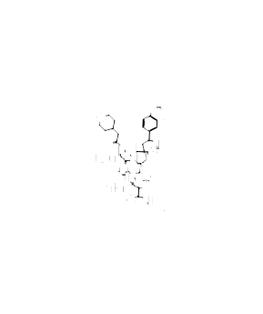 CCC[C@H](NC(=O)[C@@H]1C[C@]2(CC(c3ccc4c(c3)OCO4)=NO2)CN1C(=O)[C@@H](NC(=O)CC1CCOCC1)C(C)(C)C)C(=O)C(N)=O